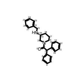 O=C(C(c1ccccc1)c1ccccc1)N1CCC[C@H](NCc2ccccc2)C1